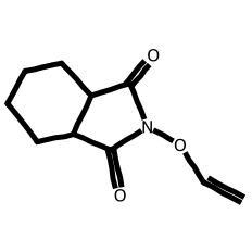 C=CON1C(=O)C2CCCCC2C1=O